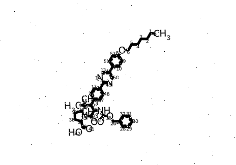 CCCCCCCOc1ccc(-c2cnc(-c3ccc(C(C(NC(=O)OCc4ccccc4)C(=O)N4CCCC4C(=O)O)C(C)(C)C)cc3)nc2)cc1